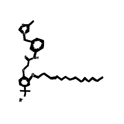 CCCCCCCCCCCCCCOc1cc(C(C)(C)C)ccc1OCC(=O)Nc1cccc(C[n+]2csc(C)c2)c1.[Br-]